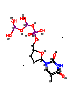 Cc1cn(C2CCC(COP(=O)(O)OP(O)OP(O)O)O2)c(=O)[nH]c1=O